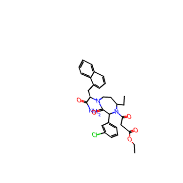 CCOC(=O)CC(=O)N1C(CC)CCN([C@H](Cc2cccc3ccccc23)C(N)=O)C(=O)C1c1cccc(Cl)c1